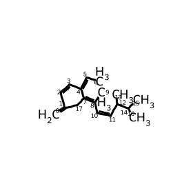 C=C1C=CC(=C/C)/C(=C(C)/C=C\C(C)C(C)C)C1